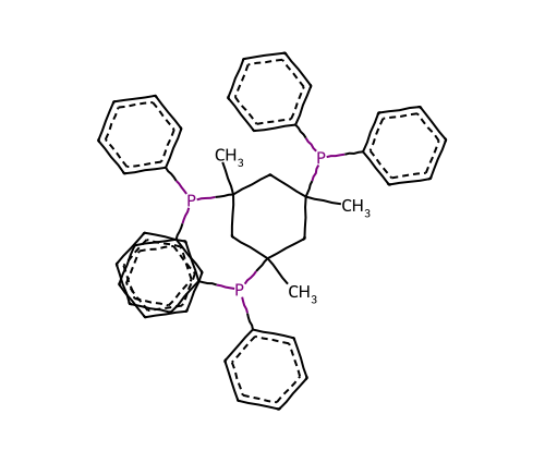 CC1(P(c2ccccc2)c2ccccc2)CC(C)(P(c2ccccc2)c2ccccc2)CC(C)(P(c2ccccc2)c2ccccc2)C1